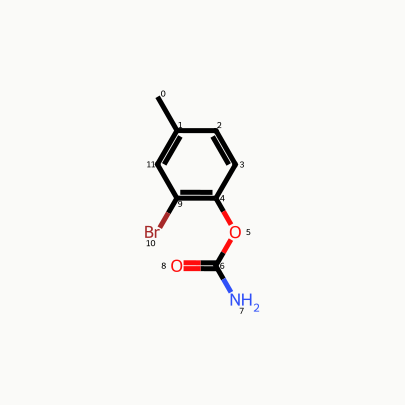 Cc1ccc(OC(N)=O)c(Br)c1